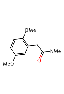 [CH2]NC(=O)Cc1cc(OC)ccc1OC